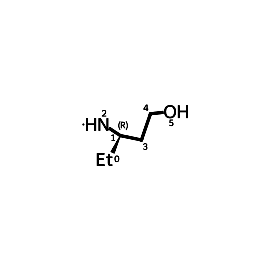 CC[C@@H]([NH])CCO